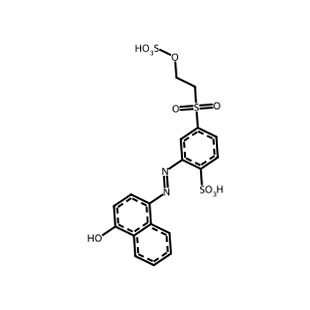 O=S(=O)(O)OCCS(=O)(=O)c1ccc(S(=O)(=O)O)c(N=Nc2ccc(O)c3ccccc23)c1